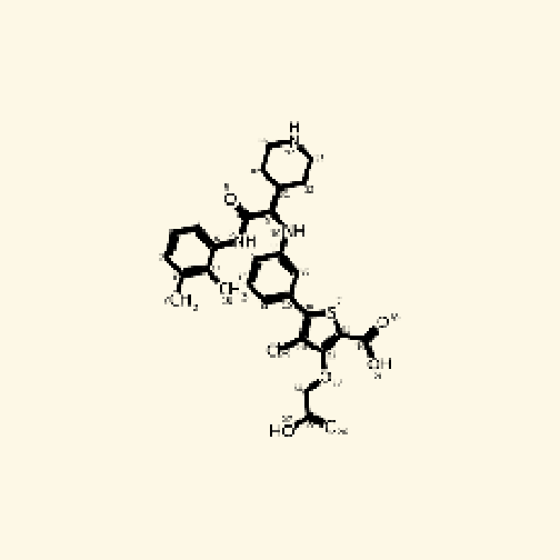 Cc1cccc(NC(=O)C(Nc2cccc(-c3sc(C(=O)O)c(OCC(=O)O)c3Cl)c2)C2CCNCC2)c1C